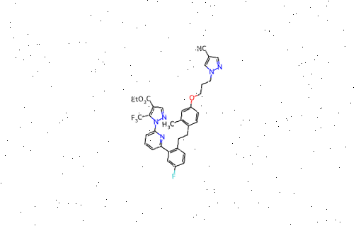 CCOC(=O)c1cnn(-c2cccc(-c3cc(F)ccc3CCc3ccc(OCCCn4cc(C#N)cn4)cc3C)n2)c1C(F)(F)F